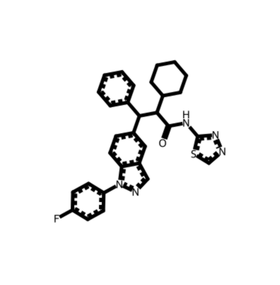 O=C(Nc1nncs1)C(C1CCCCC1)C(c1ccccc1)c1ccc2c(cnn2-c2ccc(F)cc2)c1